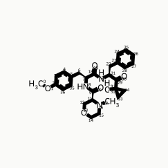 COc1ccc(C[C@H](NC(=O)[C@@H]2COCCN2C)C(=O)N[C@@H](Cc2ccccc2)C(=O)C2(C)CC2)cc1